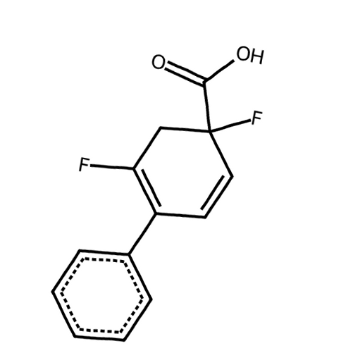 O=C(O)C1(F)C=CC(c2ccccc2)=C(F)C1